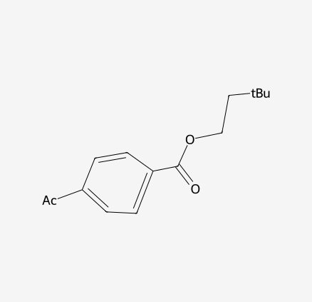 CC(=O)c1ccc(C(=O)OCCC(C)(C)C)cc1